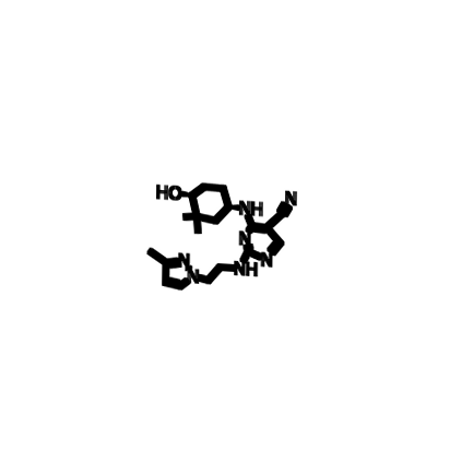 Cc1ccn(CCNc2ncc(C#N)c(N[C@@H]3CC[C@H](O)C(C)(C)C3)n2)n1